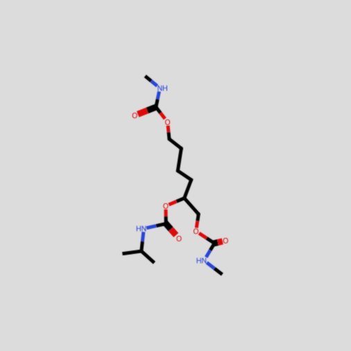 CNC(=O)OCCCCC(COC(=O)NC)OC(=O)NC(C)C